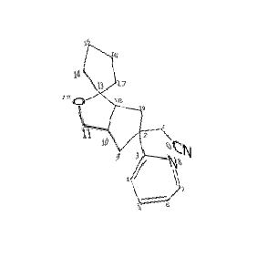 N#CCC1(c2ccccn2)CC2COC3(CCCC3)C2C1